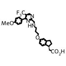 COc1ccc(-c2nc(CNCCCOc3ccc4c(c3)CC[C@H]4CC(=O)O)ncc2C(F)(F)F)cc1